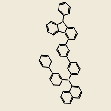 C1=CCC(C2=CCCC(N(c3cccc(-c4cccc(-c5cccc6c5c5ccccc5n6-c5ccccc5)c4)c3)c3cccc4ccccc34)=C2)C=C1